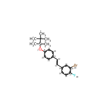 CC(C)(C)[Si](C)(C)Oc1ccc(C=Cc2ccc(F)c(Br)c2)cc1